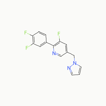 Fc1ccc(-c2ncc(Cn3cccn3)cc2F)cc1F